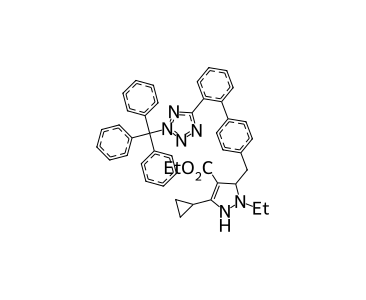 CCOC(=O)C1=C(C2CC2)NN(CC)C1Cc1ccc(-c2ccccc2-c2nnn(C(c3ccccc3)(c3ccccc3)c3ccccc3)n2)cc1